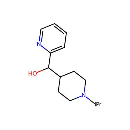 CC(C)N1CCC(C(O)c2ccccn2)CC1